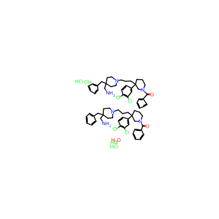 Cl.Cl.Cl.Cl.NCC1(Cc2ccccc2)CCN(CCCC2(c3ccc(Cl)c(Cl)c3)CCCN(C(=O)c3ccccc3)C2)CC1.NCC1(Cc2ccccc2)CCN(CCCC2(c3ccc(Cl)c(Cl)c3)CCCN(C(=O)c3ccccc3)C2)CC1.O